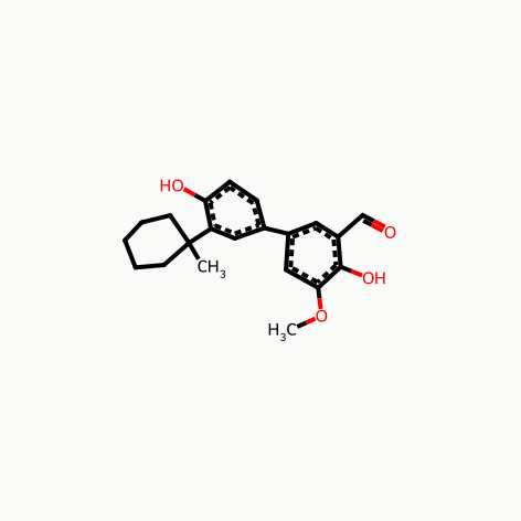 COc1cc(-c2ccc(O)c(C3(C)CCCCC3)c2)cc(C=O)c1O